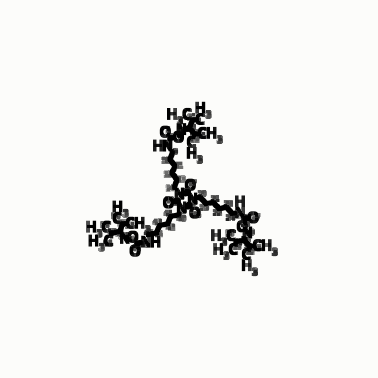 CC(C)C(=NOC(=O)NCCCCCCn1c(=O)n(CCCCCCNC(=O)ON=C(C(C)C)C(C)C)c(=O)n(CCCCCCNC(=O)ON=C(C(C)C)C(C)C)c1=O)C(C)C